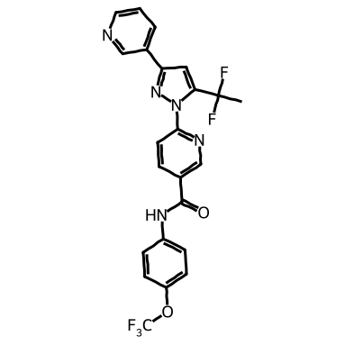 CC(F)(F)c1cc(-c2cccnc2)nn1-c1ccc(C(=O)Nc2ccc(OC(F)(F)F)cc2)cn1